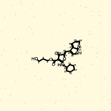 O=C(OCCCO)C1=C(NC2CCCCC2)O/C(=C\c2c[nH]c3ncccc23)C1=O